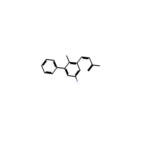 C=C(C)/C=C\c1cc(N)cc(-c2ccccc2)c1C